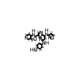 O=C(Nc1ccncc1F)c1cnc2c(Nc3ccon3)cc(NC3CCC(O)CC3)nn12